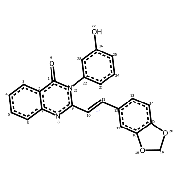 O=c1c2ccccc2nc(/C=C/c2ccc3c(c2)OCO3)n1-c1cccc(O)c1